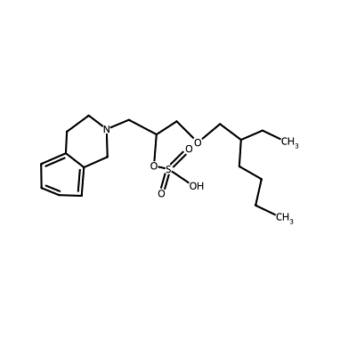 CCCCC(CC)COCC(CN1CCc2ccccc2C1)OS(=O)(=O)O